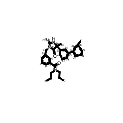 CCCN(CCC)C(=O)c1cccc(CN2C(=N)NC(C)(c3cccc(-c4cccc(I)c4)c3)C2=O)c1